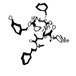 CON(C)C(=O)[C@@H](CC(C)C(=O)N(C)CCc1ccccc1)NC(=O)[C@@H](CC1CCCCC1)NC(=O)OCc1cccc(Cl)c1